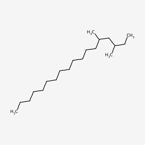 C[CH]C(C)CC(C)C[CH]CCCCCCCCCCC